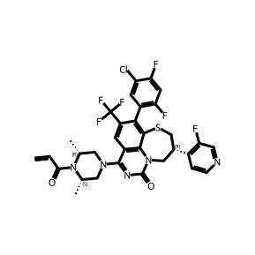 C=CC(=O)N1[C@H](C)CN(c2nc(=O)n3c4c(c(-c5cc(Cl)c(F)cc5F)c(C(F)(F)F)cc24)SC[C@H](c2ccncc2F)C3)C[C@@H]1C